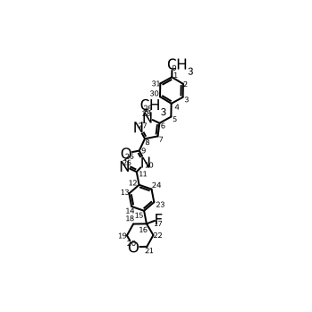 Cc1ccc(Cc2cc(-c3nc(-c4ccc(C5(F)CCOCC5)cc4)no3)nn2C)cc1